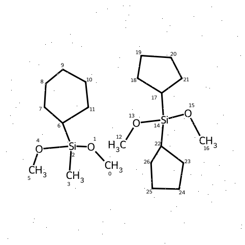 CO[Si](C)(OC)C1CCCCC1.CO[Si](OC)(C1CCCC1)C1CCCC1